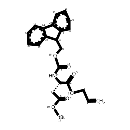 C=CCOC(=O)[C@H](CC(=O)OC(C)(C)C)NC(=O)OCC1c2ccccc2-c2ccccc21